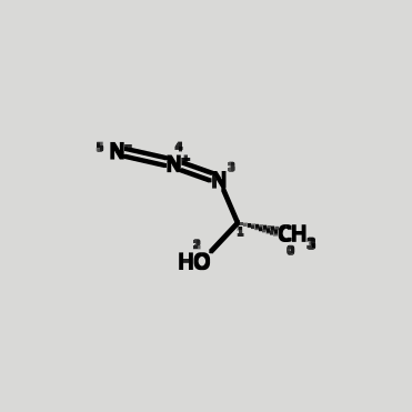 C[C@H](O)N=[N+]=[N-]